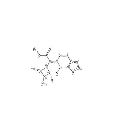 CC(C)OC(=O)C1=C(/C=C\c2csnn2)CS[C@H]2C(N)C(=O)N12